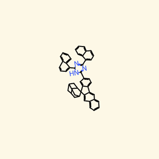 c1ccc2cc3c(cc2c1)-c1ccc(C2=NC(c4cccc5ccccc45)=NC(c4cccc5ccccc45)N2)cc1C31C2CC3CC(C2)CC1C3